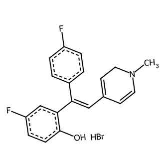 Br.CN1C=CC(/C=C(\c2ccc(F)cc2)c2cc(F)ccc2O)=CC1